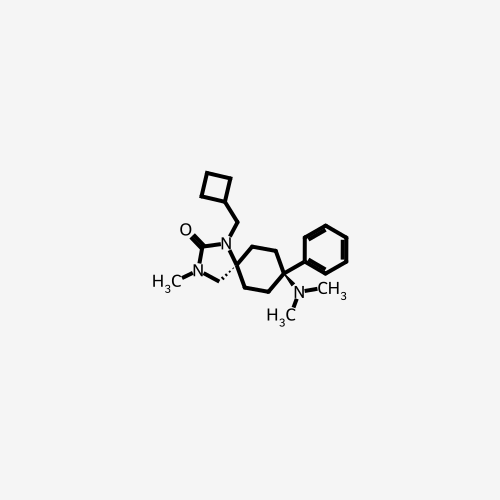 CN1C[C@]2(CC[C@](c3ccccc3)(N(C)C)CC2)N(CC2CCC2)C1=O